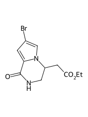 CCOC(=O)CC1CNC(=O)c2cc(Br)cn21